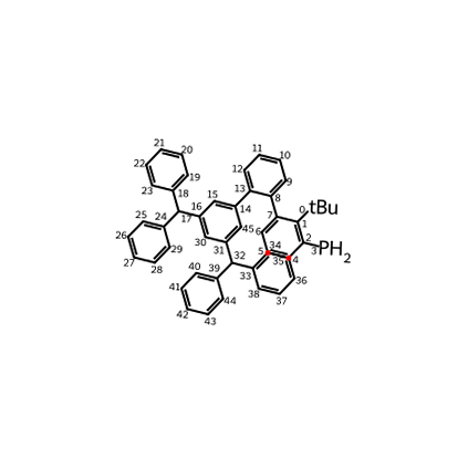 CC(C)(C)c1c(P)cccc1-c1ccccc1-c1cc(C(c2ccccc2)c2ccccc2)cc(C(c2ccccc2)c2ccccc2)c1